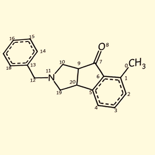 Cc1cccc2c1C(=O)C1CN(Cc3ccccc3)CC21